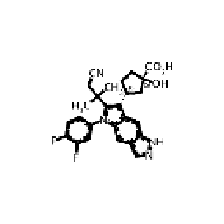 CC(C)(CC#N)c1c([C@@H]2CC[C@@](O)(C(=O)O)C2)c2cc3[nH]ncc3cc2n1-c1ccc(F)c(F)c1